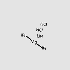 C[CH](C)[Mg][CH](C)C.Cl.Cl.[LiH]